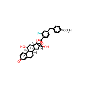 C[C@]12C=CC(=O)C=C1CC[C@@H]1[C@@H]2[C@@H](O)C[C@@]2(C)[C@H]1C[C@H]1OC(c3ccc(Cc4ccc(C(=O)O)cc4)cc3F)O[C@]12C(=O)CO